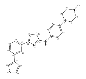 CN1CCN(c2ccc(Nc3nc(-c4cccc(-c5ccsc5)c4)cs3)cc2)CC1